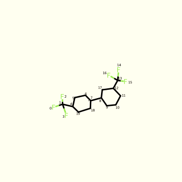 FC(F)(F)C1CC[C](C2CCCC(C(F)(F)F)C2)CC1